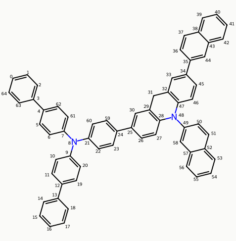 c1ccc(-c2ccc(N(c3ccc(-c4ccccc4)cc3)c3ccc(-c4ccc5c(c4)Cc4cc(-c6ccc7ccccc7c6)ccc4N5c4ccc5ccccc5c4)cc3)cc2)cc1